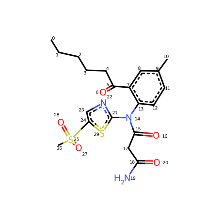 CCCCCC(=O)c1cc(C)ccc1N(C(=O)CC(N)=O)c1ncc(S(C)(=O)=O)s1